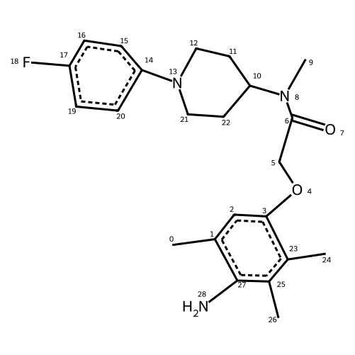 Cc1cc(OCC(=O)N(C)C2CCN(c3ccc(F)cc3)CC2)c(C)c(C)c1N